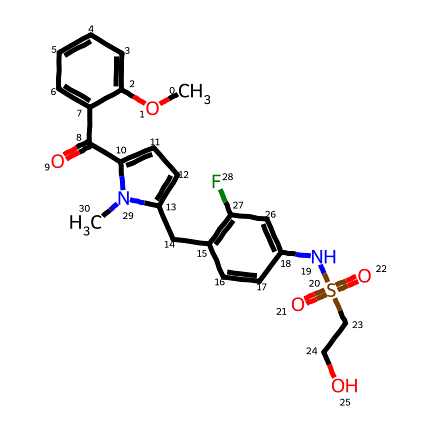 COc1ccccc1C(=O)c1ccc(Cc2ccc(NS(=O)(=O)CCO)cc2F)n1C